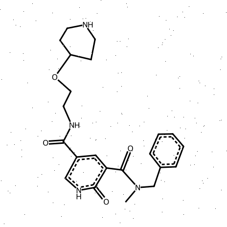 CN(Cc1ccccc1)C(=O)c1cc(C(=O)NCCOC2CCNCC2)c[nH]c1=O